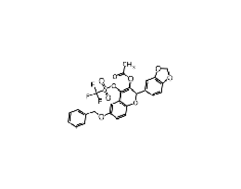 CC(=O)OC1=C(OS(=O)(=O)C(F)(F)F)c2cc(OCc3ccccc3)ccc2OC1c1ccc2c(c1)OCO2